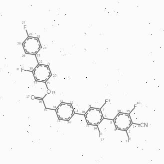 N#Cc1c(F)cc(-c2c(F)cc(-c3ccc(CC(=O)Oc4ccc(-c5ccc(F)cc5)c(F)c4)cc3)cc2F)cc1F